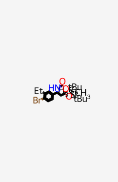 CCc1cc(C(CCO[Si](C)(C)C(C)(C)C)NC(=O)OC(C)(C)C)ccc1Br